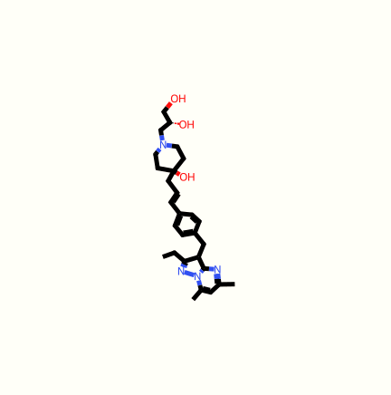 CCC1=NN2C(C)=CC(C)=NC2C1Cc1ccc(/C=C/CC2(O)CCN(C[C@@H](O)CO)CC2)cc1